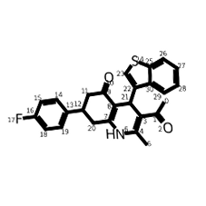 CC(=O)C1=C(C)NC2=C(C(=O)CC(c3ccc(F)cc3)C2)C1c1csc2ccccc12